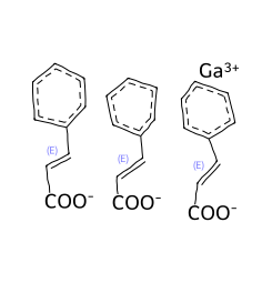 O=C([O-])/C=C/c1ccccc1.O=C([O-])/C=C/c1ccccc1.O=C([O-])/C=C/c1ccccc1.[Ga+3]